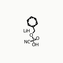 N#CP(=O)(O)OCc1ccccc1.[LiH]